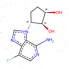 Nc1ncc(F)c2ncn([C@@H]3CC[C@@H](O)[C@H]3O)c12